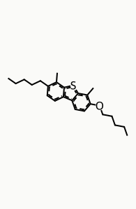 CCCCCOc1ccc2c(sc3c(C)c(CCCCC)ccc32)c1C